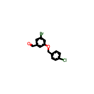 O=Cc1cc(Br)cc(OCc2ccc(Cl)cc2)c1